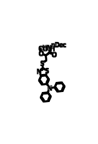 CCCCCCCCCCNC(=O)C(CSc1nc2ccc(N(c3ccccc3)c3ccccc3)cc2s1)OC(=O)O